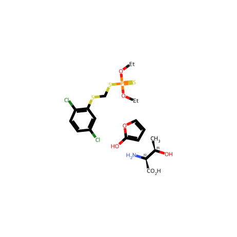 CCOP(=S)(OCC)SCSc1cc(Cl)ccc1Cl.C[C@@H](O)[C@H](N)C(=O)O.Oc1ccco1